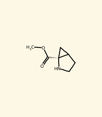 COC(=O)[C@]12CC1CCN2